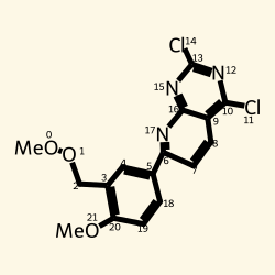 COOCc1cc(-c2ccc3c(Cl)nc(Cl)nc3n2)ccc1OC